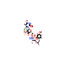 COc1cccc(OP(=O)(N[C@@H](C)C(=O)OC(C)C)OC[C@H]2O[C@@H](n3ccc(=O)[nH]c3=O)[C@](Cl)(Br)[C@@H]2O)c1